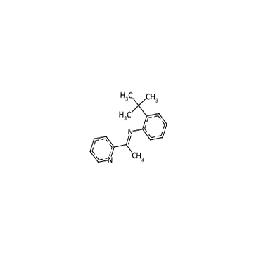 C/C(=N\c1ccccc1C(C)(C)C)c1ccccn1